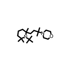 CC(C)(C)N1C(C)(C)CCCC1(C)CCC(C)(C)N1CCOCC1